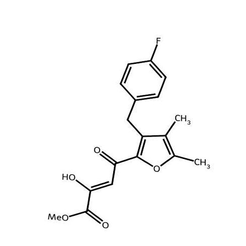 COC(=O)C(O)=CC(=O)c1oc(C)c(C)c1Cc1ccc(F)cc1